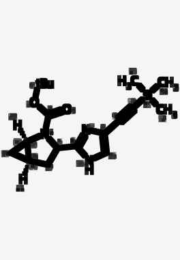 CC(C)(C)OC(=O)N1C(c2nc(C#C[Si](C)(C)C)c[nH]2)C[C@H]2C[C@H]21